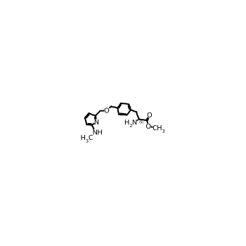 CNc1cccc(COCc2ccc(C[C@H](N)C(=O)OC)cc2)n1